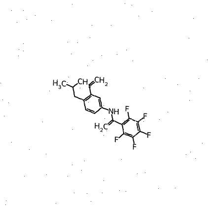 C=Cc1cc(NC(=C)c2c(F)c(F)c(F)c(F)c2F)ccc1CC(C)C